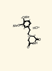 COc1ccc(CCN2CC(=O)NC(=O)C2)cc1OC.Cl